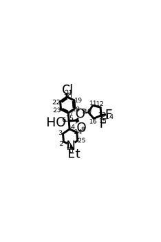 CCN1CCC([C@](O)(C(=O)O[C@@H]2CCC(F)(F)C2)c2ccc(Cl)cc2)CC1